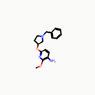 COc1nc(OC2CCN(Cc3ccccc3)C2)ccc1N